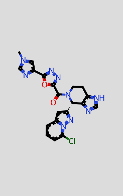 Cn1cnc(-c2nnc(C(=O)N3CCc4[nH]cnc4[C@@H]3c3cc4cccc(Cl)n4n3)o2)c1